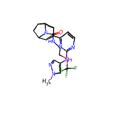 Cn1cc(Nc2nccc(C3=CC4CCC(C3)N4C(=O)NCCOC(F)(F)F)n2)cn1